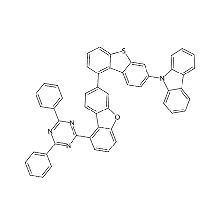 c1ccc(-c2nc(-c3ccccc3)nc(-c3cccc4oc5cc(-c6cccc7sc8cc(-n9c%10ccccc%10c%10ccccc%109)ccc8c67)ccc5c34)n2)cc1